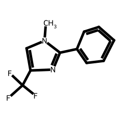 Cn1cc(C(F)(F)F)nc1C1=CC=C=C=C1